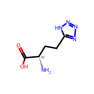 N[C@@H](CCc1nnn[nH]1)C(=O)O